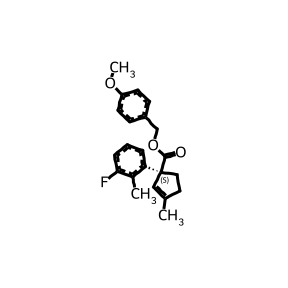 COc1ccc(COC(=O)[C@]2(c3cccc(F)c3C)C=C(C)CC2)cc1